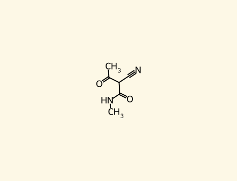 CNC(=O)C(C#N)C(C)=O